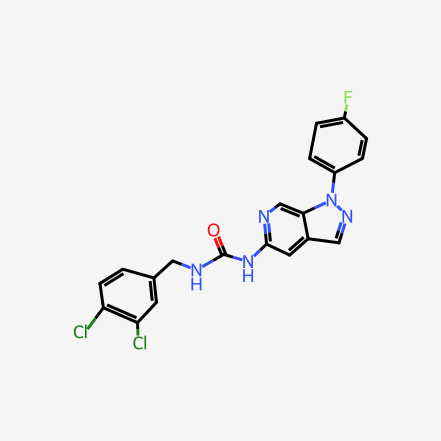 O=C(NCc1ccc(Cl)c(Cl)c1)Nc1cc2cnn(-c3ccc(F)cc3)c2cn1